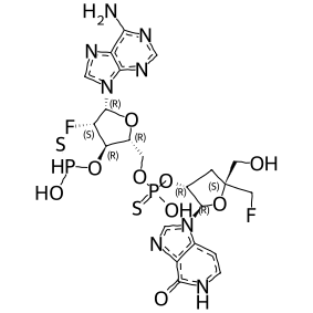 Nc1ncnc2c1ncn2[C@@H]1O[C@H](COP(O)(=S)O[C@@H]2C[C@](CO)(CF)O[C@H]2n2cnc3c(=O)[nH]ccc32)[C@@H](O[PH](O)=S)[C@@H]1F